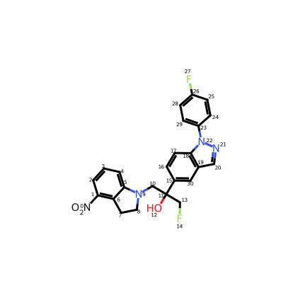 O=[N+]([O-])c1cccc2c1CCN2CC(O)(CF)c1ccc2c(cnn2-c2ccc(F)cc2)c1